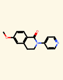 COc1ccc2c(c1)CCN(c1ccncc1)C2=O